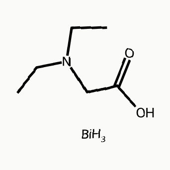 CCN(CC)CC(=O)O.[BiH3]